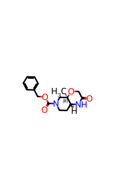 C[C@@]12CN(C(=O)OCc3ccccc3)CC[C@H]1NC(=O)CO2